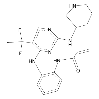 C=CC(=O)Nc1ccccc1Nc1nc(NC2CCCNC2)ncc1C(F)(F)F